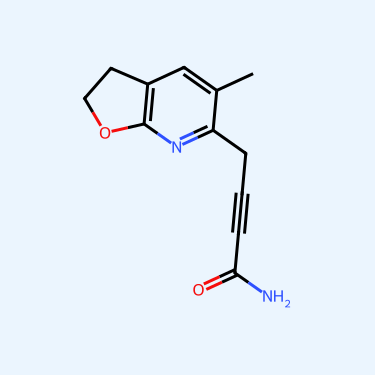 Cc1cc2c(nc1CC#CC(N)=O)OCC2